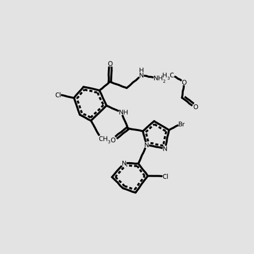 COC=O.Cc1cc(Cl)cc(C(=O)CNN)c1NC(=O)c1cc(Br)nn1-c1ncccc1Cl